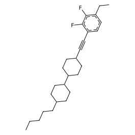 CCCCCC1CCC(C2CCC(C#Cc3ccc(CC)c(F)c3F)CC2)CC1